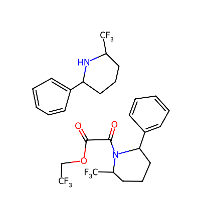 FC(F)(F)C1CCCC(c2ccccc2)N1.O=C(OCC(F)(F)F)C(=O)N1C(c2ccccc2)CCCC1C(F)(F)F